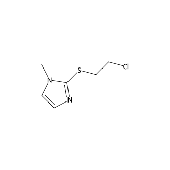 Cn1ccnc1SCCCl